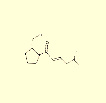 CC(C)C[C@H]1CCCN1C(=O)/C=C/CN(C)C